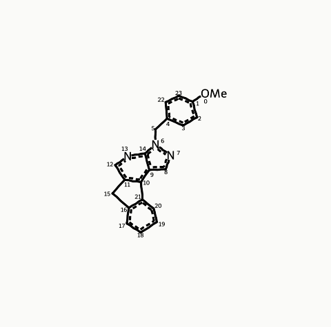 COc1ccc(Cn2ncc3c4c(cnc32)Cc2ccccc2-4)cc1